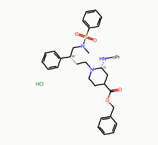 CCCN[C@@H]1CC(C(=O)OCc2ccccc2)CCN1CC[C@@H](CN(C)S(=O)(=O)c1ccccc1)c1ccccc1.Cl